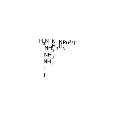 N.N.N.N.N.N.[I-].[I-].[I-].[Ru+3]